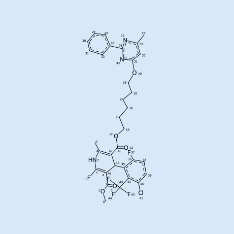 COC(=O)C1=C(F)NC(C)=C(C(=O)OCCCCCCOc2cc(C)nc(-c3ccccc3)n2)C1c1c(F)ccc(Cl)c1C(F)(F)F